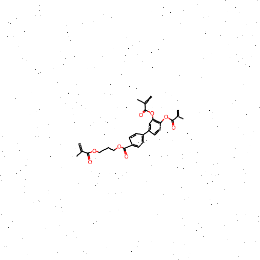 C=C(C)C(=O)OCCCOC(=O)c1ccc(-c2ccc(OC(=O)C(=C)C)c(OC(=O)C(=C)C)c2)cc1